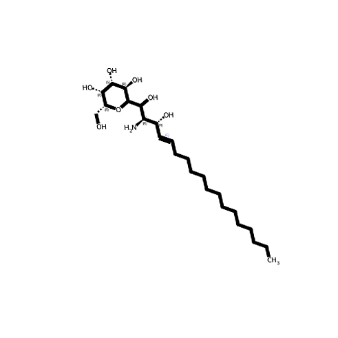 CCCCCCCCCCCCC/C=C/[C@@H](O)[C@@H](N)C(O)C1O[C@H](CO)[C@H](O)[C@H](O)[C@H]1O